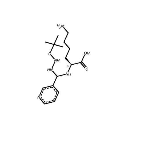 CC(C)(C)ONNC(N[C@@H](CCCCN)C(=O)O)c1cccnc1